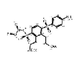 CCCCCCCCCCCCc1c(S(=O)(=O)[O][Ti](=[O])[O]C(C)C)ccc(S(=O)(=O)c2ccc(N)cc2)c1CCCCCCCCCCCC